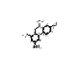 Nc1cc(N)c(CCO)c(-c2ccc(Cl)cc2)c1